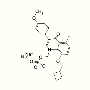 COc1ccc(-c2cn(COP(=O)([O-])[O-])c3c(OCC4CCC4)ccc(F)c3c2=O)cc1.[Na+].[Na+]